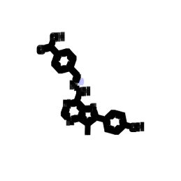 Cc1c(-c2ccc(O)cc2)sc2c(N/N=C/c3ccc(C(=O)O)cc3)ncnc12